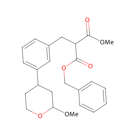 COC(=O)C(Cc1cccc(C2CCOC(OC)C2)c1)C(=O)OCc1ccccc1